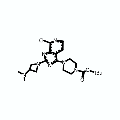 CN(C)C1CN(c2nc(N3CCN(C(=O)OC(C)(C)C)CC3)c3ccnc(Cl)c3n2)C1